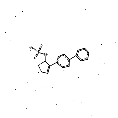 CCCS(=O)(=O)NC1CCC=C1c1ccc(-c2ccccc2)cc1